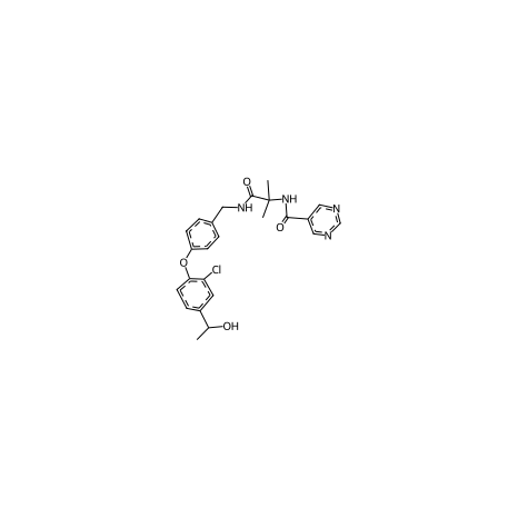 CC(O)c1ccc(Oc2ccc(CNC(=O)C(C)(C)NC(=O)c3cncnc3)cc2)c(Cl)c1